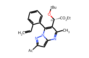 C=Cc1ccccc1-c1c([C@H](OC(C)(C)C)C(=O)OCC)c(C)nc2cc(C(C)=O)nn12